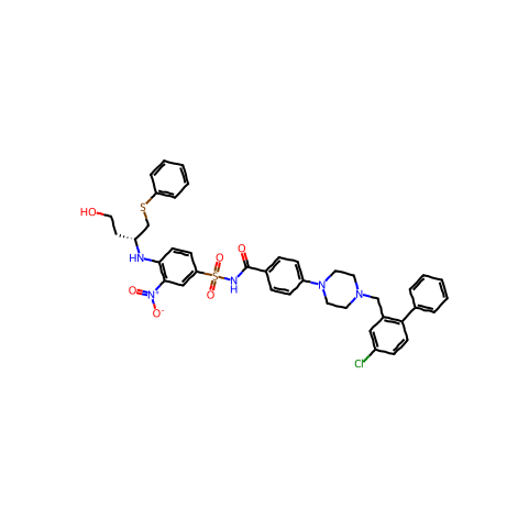 O=C(NS(=O)(=O)c1ccc(N[C@H](CCO)CSc2ccccc2)c([N+](=O)[O-])c1)c1ccc(N2CCN(Cc3cc(Cl)ccc3-c3ccccc3)CC2)cc1